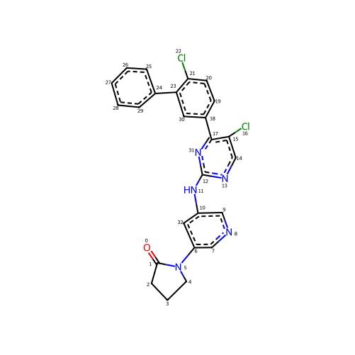 O=C1CCCN1c1cncc(Nc2ncc(Cl)c(-c3ccc(Cl)c(-c4ccccc4)c3)n2)c1